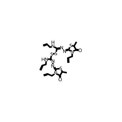 C=CCNC(=NN=C1SC(C)C(=O)N1CC=C)SSC(=NN=C1SC(C)C(=O)N1CC=C)NCC=C